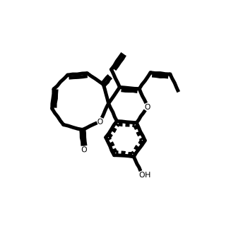 C=CC1=C(/C=C\C)Oc2cc(O)ccc2C12OC(=O)C/C=C\C=C/C2=C